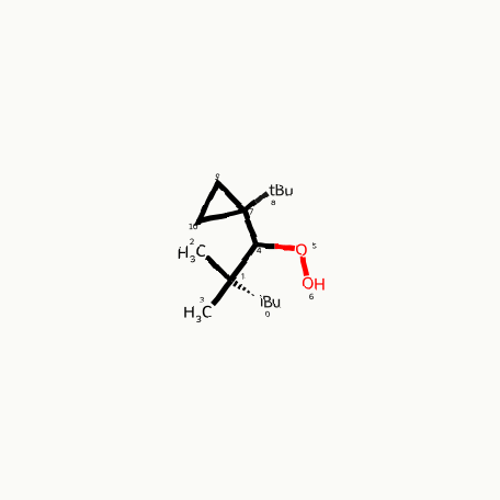 CC[C@@H](C)C(C)(C)C(OO)C1(C(C)(C)C)CC1